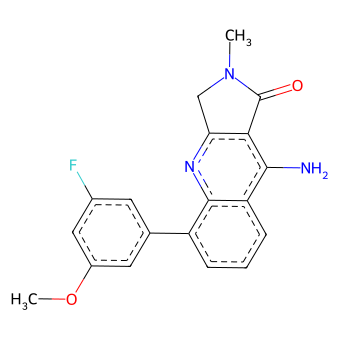 COc1cc(F)cc(-c2cccc3c(N)c4c(nc23)CN(C)C4=O)c1